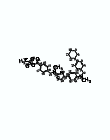 CN(Cc1ccc(C2CCCCC2)cc1)c1ccc(-c2csc(N(C)Cc3ccc(C(=O)OS(C)(=O)=O)cc3)n2)cc1